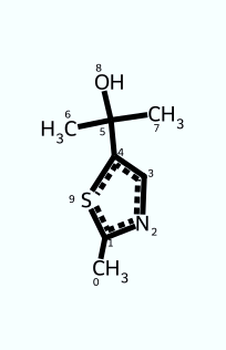 Cc1ncc(C(C)(C)O)s1